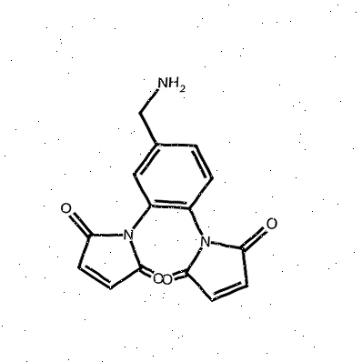 NCc1ccc(N2C(=O)C=CC2=O)c(N2C(=O)C=CC2=O)c1